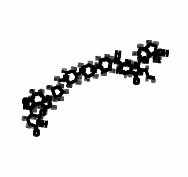 C=CCn1c(=O)c2cnc(Nc3ccc(N4CCN(C5CCN(C[C@@H]6CC[C@H](n7ccc8c9c(C%10CCC(=O)NC%10=O)noc9ccc87)C6)CC5)CC4)cc3)nc2n1-c1ccc2c(n1)[C@@](O)(CC)CC2